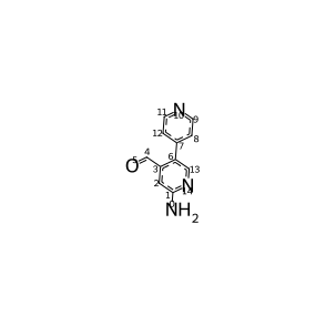 Nc1cc(C=O)c(-c2ccncc2)cn1